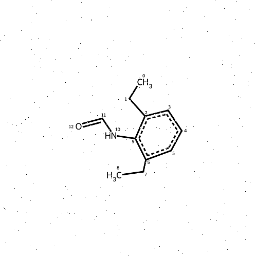 CCc1cccc(CC)c1NC=O